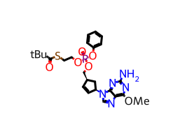 COc1nc(N)nc2c1ncn2[C@H]1C=C[C@@H](COP(=O)(OCCSC(=O)C(C)(C)C)Oc2ccccc2)C1